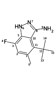 Cc1cc(F)c2[nH]nc(N)c2c1C(C)(C)C